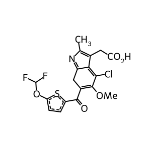 COC1=C(C(=O)c2ccc(OC(F)F)s2)CC2=NC(C)=C(CC(=O)O)C2=C1Cl